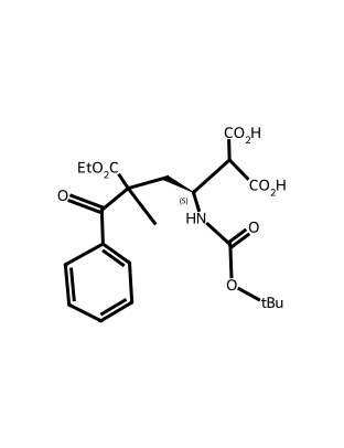 CCOC(=O)C(C)(C[C@H](NC(=O)OC(C)(C)C)C(C(=O)O)C(=O)O)C(=O)c1ccccc1